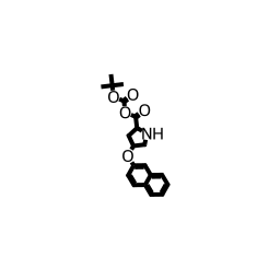 CC(C)(C)OC(=O)OC(=O)C1CC(Oc2ccc3ccccc3c2)CN1